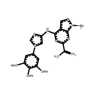 C=C(C)c1nc(Nc2cn(-c3cc(OC)c(OC)c(OC)c3)cn2)c2cnn([C@H](C)CC)c2n1